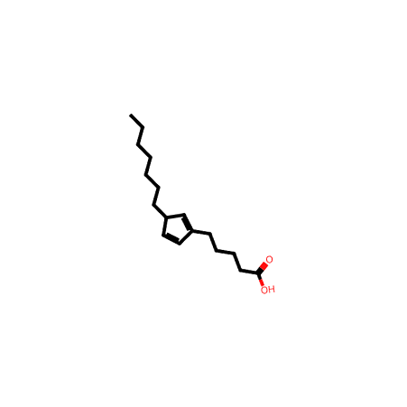 CCCCCCCC1C=CC(CCCCC(=O)O)=C1